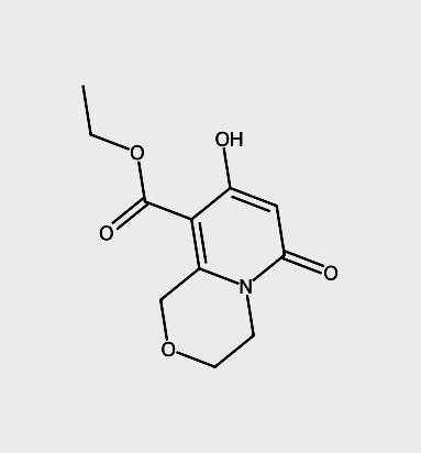 CCOC(=O)c1c(O)cc(=O)n2c1COCC2